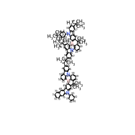 CC(C)(C)c1ccc(-n2c3ccc(C(C)(C)C)cc3c3cc4c(cc32)B2c3c(cccc3C4(C)C)-n3c4ccc(C(C)(C)Cc5ccc6c(c5)c5cccc7c5n6-c5cccc6c5B7c5cc7c8cc9ccccc9cc8n(-c8ccccc8)c7cc5C6(C)C)cc4c4cc(C(C)(C)C)cc2c43)cc1